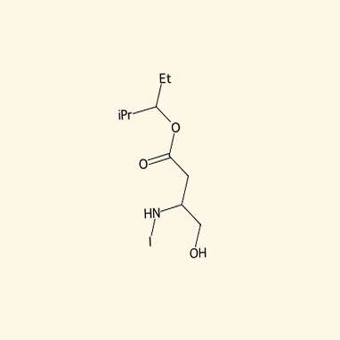 CCC(OC(=O)CC(CO)NI)C(C)C